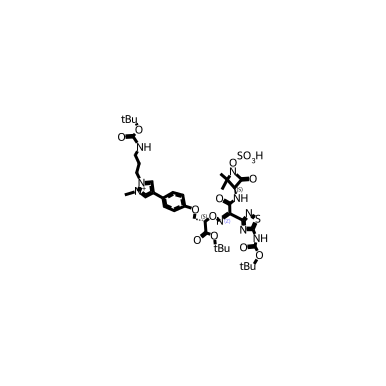 C[n+]1cc(-c2ccc(OC[C@H](O/N=C(\C(=O)N[C@@H]3C(=O)N(OS(=O)(=O)O)C3(C)C)c3nsc(NC(=O)OC(C)(C)C)n3)C(=O)OC(C)(C)C)cc2)cn1CCCNC(=O)OC(C)(C)C